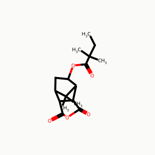 CCC(C)(C)C(=O)OC1CC2C3C(=O)OC(=O)C3C1C2(C)C